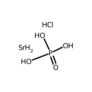 Cl.O=P(O)(O)O.[SrH2]